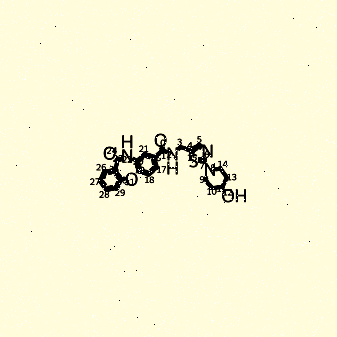 O=C(NCc1cnc(N2CCC(O)CC2)s1)c1ccc2c(c1)NC(=O)c1ccccc1O2